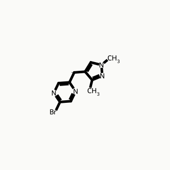 Cc1nn(C)cc1[CH]c1cnc(Br)cn1